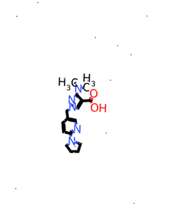 CN(C)c1nn(Cc2ccc(N3CCCC3)nc2)cc1C(=O)O